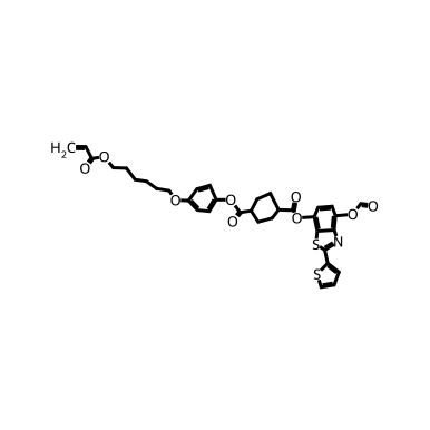 C=CC(=O)OCCCCCCOc1ccc(OC(=O)C2CCC(C(=O)Oc3ccc(OC=O)c4nc(-c5cccs5)sc34)CC2)cc1